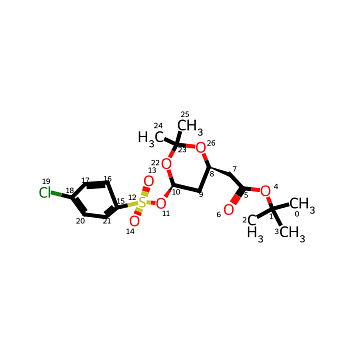 CC(C)(C)OC(=O)C[C@H]1C[C@@H](OS(=O)(=O)c2ccc(Cl)cc2)OC(C)(C)O1